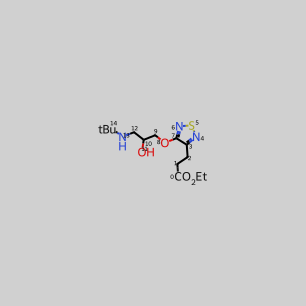 CCOC(=O)CCc1nsnc1OCC(O)CNC(C)(C)C